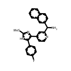 CSc1nc(-c2ccnc(C(N)c3ccc4ccccc4c3)c2)c(-c2ccc(F)cc2)[nH]1